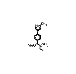 CO[C@H](c1ccc(-c2cnn(C)c2)cc1)[C@H](N)CF